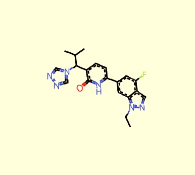 CCn1ncc2c(F)cc(-c3ccc(C(C(C)C)n4cnnc4)c(=O)[nH]3)cc21